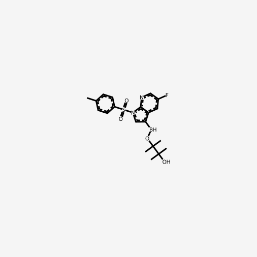 Cc1ccc(S(=O)(=O)n2cc(BOC(C)(C)C(C)(C)O)c3cc(F)cnc32)cc1